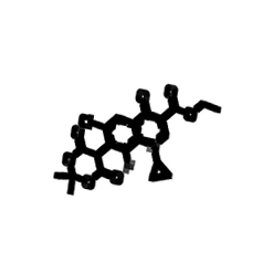 CCOC(=O)c1cn(C2CC2)c2c(F)c(C3C(=O)OC(C)(C)OC3=O)c(Cl)cc2c1=O